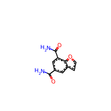 NC(=O)c1cc(C(N)=O)c2occc2c1